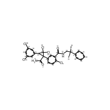 NC(=O)C1(c2ccc(Cl)c(C(=O)NCC(F)(F)c3ccccc3)c2)C(c2cc(Cl)cc(Cl)c2)C1(Cl)Cl